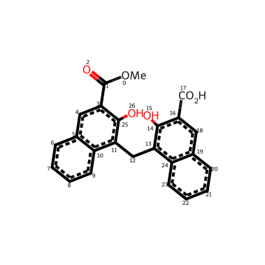 COC(=O)c1cc2ccccc2c(Cc2c(O)c(C(=O)O)cc3ccccc23)c1O